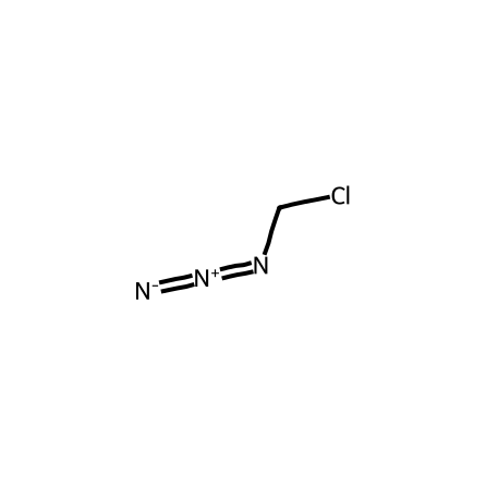 [N-]=[N+]=NCCl